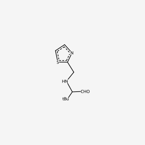 CC(C)(C)C(C=O)NCc1nccs1